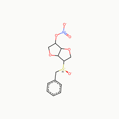 O=[N+]([O-])OC1COC2C1OCC2[S@@+]([O-])Cc1ccccc1